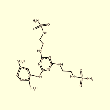 NS(=O)(=O)NCCNc1nc(NCCNS(N)(=O)=O)nc(Nc2cc(S(=O)(=O)O)ccc2S(=O)(=O)O)n1